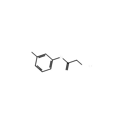 CCOC(=O)CC(=O)Nc1cccc(F)c1